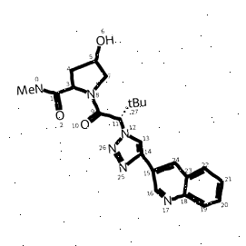 CNC(=O)C1CC(O)CN1C(=O)[C@@H](n1cc(-c2cnc3ccccc3c2)nn1)C(C)(C)C